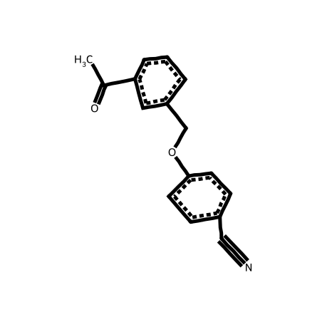 CC(=O)c1cccc(COc2ccc(C#N)cc2)c1